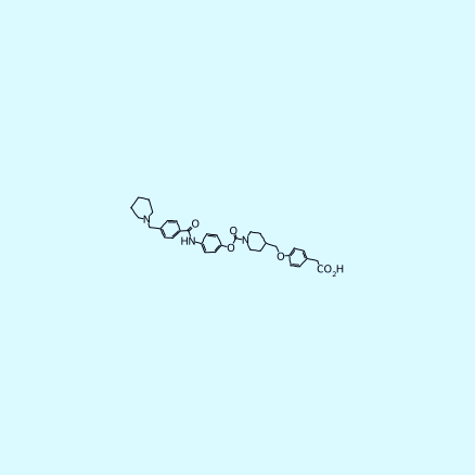 O=C(O)Cc1ccc(OCC2CCN(C(=O)Oc3ccc(NC(=O)c4ccc(CN5CCCCC5)cc4)cc3)CC2)cc1